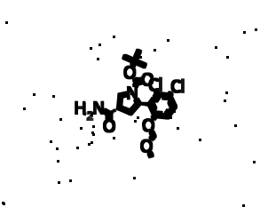 COCOc1ccc(Cl)c(Cl)c1[C@H]1C[C@H](C(N)=O)CN1C(=O)OC(C)(C)C